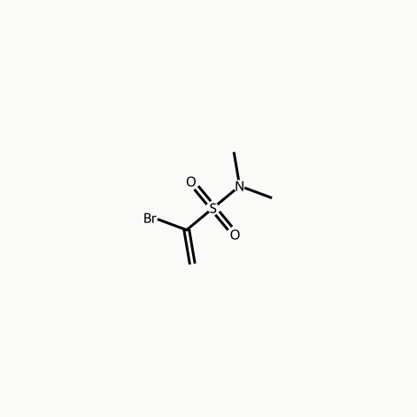 C=C(Br)S(=O)(=O)N(C)C